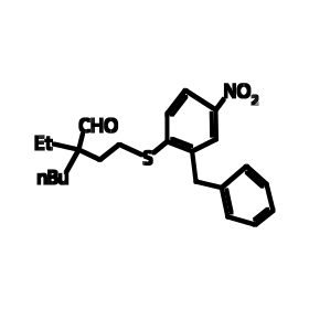 CCCCC(C=O)(CC)CCSc1ccc([N+](=O)[O-])cc1Cc1ccccc1